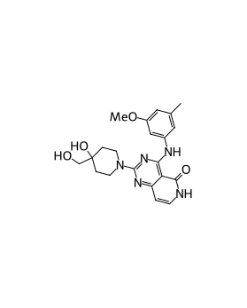 COc1cc(C)cc(Nc2nc(N3CCC(O)(CO)CC3)nc3cc[nH]c(=O)c23)c1